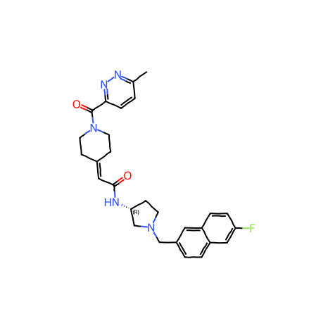 Cc1ccc(C(=O)N2CCC(=CC(=O)N[C@@H]3CCN(Cc4ccc5cc(F)ccc5c4)C3)CC2)nn1